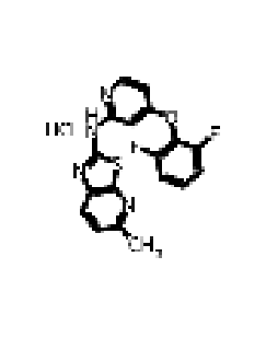 Cc1ccc2nc(Nc3cc(Oc4c(F)cccc4F)ccn3)sc2n1.Cl